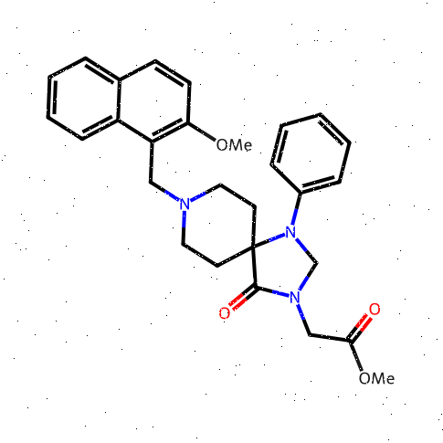 COC(=O)CN1CN(c2ccccc2)C2(CCN(Cc3c(OC)ccc4ccccc34)CC2)C1=O